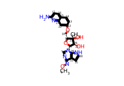 CON=c1ncn([C@@H]2O[C@H](COc3ccc4ccc(N)nc4c3)[C@@](C)(O)[C@H]2O)c2[nH]ccc12